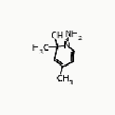 CC1=CC(C)(C)N(N)C=C1